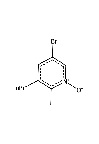 CCCc1cc(Br)c[n+]([O-])c1C